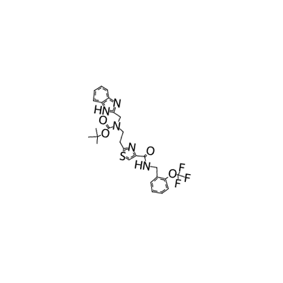 CC(C)(C)OC(=O)N(CCc1nc(C(=O)NCc2ccccc2OC(F)(F)F)cs1)Cc1nc2ccccc2[nH]1